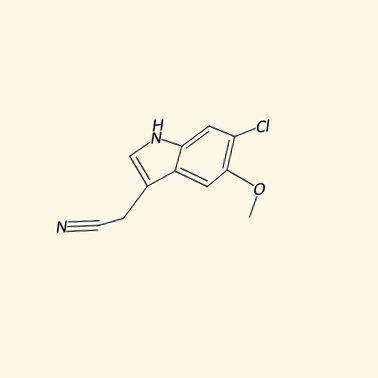 COc1cc2c(CC#N)c[nH]c2cc1Cl